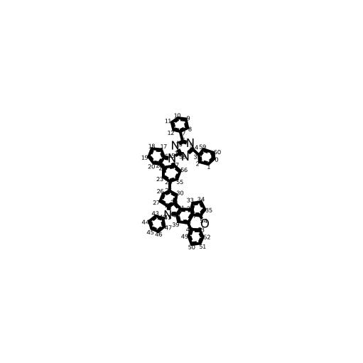 c1ccc(-c2nc(-c3ccccc3)nc(-n3c4ccccc4c4cc(-c5ccc6c(c5)c5c7cccc8c7c(cc5n6-c5ccccc5)-c5ccccc5O8)ccc43)n2)cc1